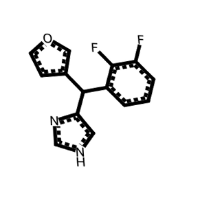 Fc1cccc(C(c2ccoc2)c2c[nH]cn2)c1F